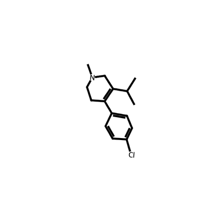 CC(C)C1=C(c2ccc(Cl)cc2)CCN(C)C1